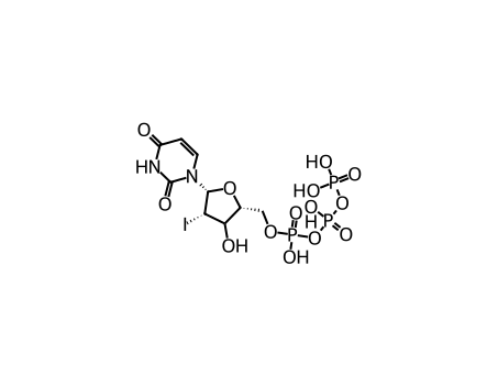 O=c1ccn([C@@H]2O[C@H](COP(=O)(O)OP(=O)(O)OP(=O)(O)O)C(O)[C@@H]2I)c(=O)[nH]1